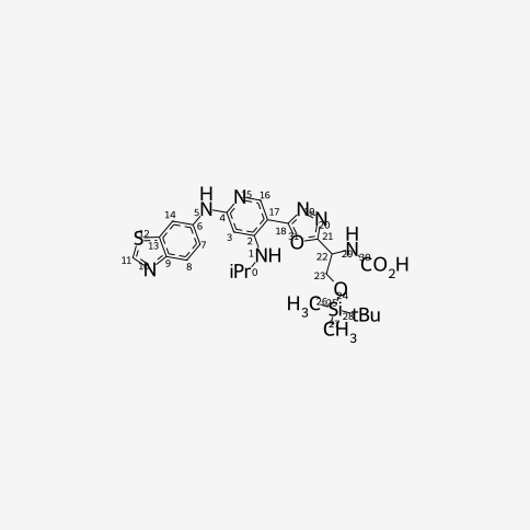 CC(C)Nc1cc(Nc2ccc3ncsc3c2)ncc1-c1nnc(C(CO[Si](C)(C)C(C)(C)C)NC(=O)O)o1